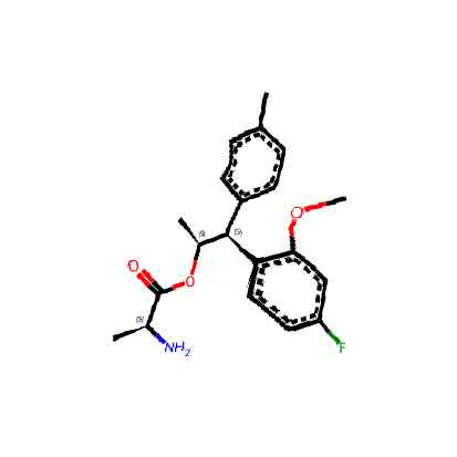 COc1cc(F)ccc1[C@H](c1ccc(C)cc1)[C@H](C)OC(=O)[C@H](C)N